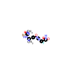 CN1C[C@H](Nc2cnn(C)c(=O)c2Br)C[C@H](c2ccc(C(=O)N3CCN(c4ccc(F)c(C5CCC(=O)NC5=O)c4)CC3)cc2)C1